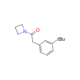 CC(C)(C)c1cccc(CC(=O)N2CCC2)c1